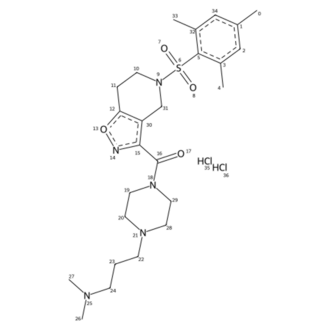 Cc1cc(C)c(S(=O)(=O)N2CCc3onc(C(=O)N4CCN(CCCN(C)C)CC4)c3C2)c(C)c1.Cl.Cl